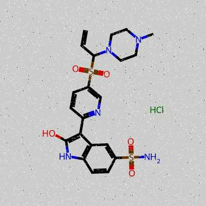 C=CC(N1CCN(C)CC1)S(=O)(=O)c1ccc(-c2c(O)[nH]c3ccc(S(N)(=O)=O)cc23)nc1.Cl